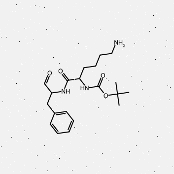 CC(C)(C)OC(=O)NC(CCCCN)C(=O)NC(C=O)Cc1ccccc1